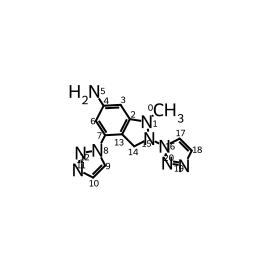 CN1c2cc(N)cc(-n3ccnn3)c2CN1n1ccnn1